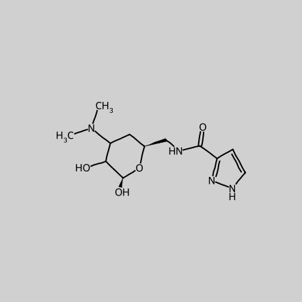 CN(C)C1C[C@@H](CNC(=O)c2cc[nH]n2)O[C@@H](O)C1O